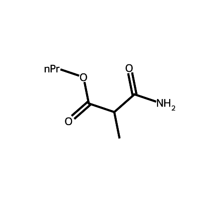 CCCOC(=O)C(C)C(N)=O